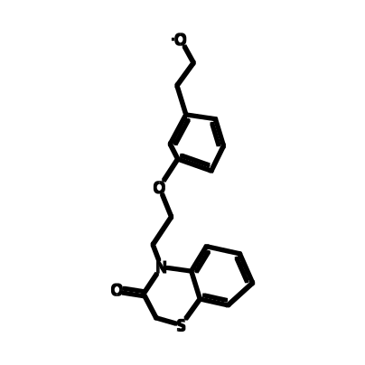 [O]CCc1cccc(OCCN2C(=O)CSc3ccccc32)c1